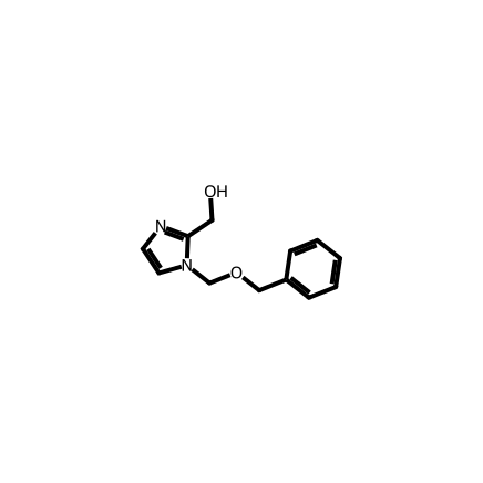 OCc1nccn1COCc1ccccc1